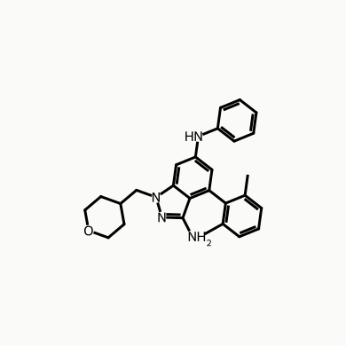 Cc1cccc(C)c1-c1cc(Nc2ccccc2)cc2c1c(N)nn2CC1CCOCC1